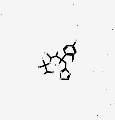 CCC(SC(F)(F)C(F)F)C(C)C(O)(Cc1nc[nH]n1)c1ccc(F)cc1F